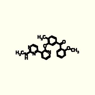 CNc1nccc(-c2cccnc2Oc2cc(C(=O)c3ccccc3OC)ccc2C)n1